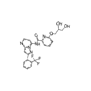 O=C(Nc1ccnc2cc(-c3ccccc3C(F)(F)F)nn12)c1cccc(OCC(O)CO)n1